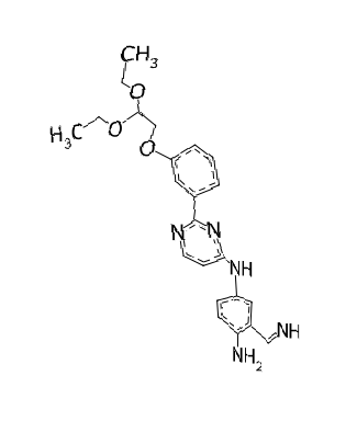 CCOC(COc1cccc(-c2nccc(Nc3ccc(N)c(C=N)c3)n2)c1)OCC